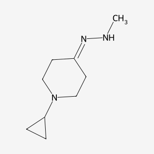 CNN=C1CCN(C2CC2)CC1